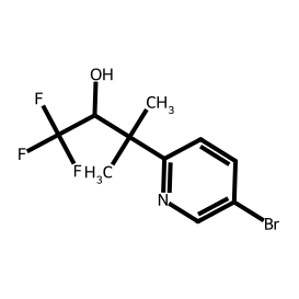 CC(C)(c1ccc(Br)cn1)C(O)C(F)(F)F